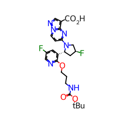 CC(C)(C)OC(=O)NCCCOc1ncc(F)cc1[C@H]1C[C@H](F)CN1c1ccn2ncc(C(=O)O)c2n1